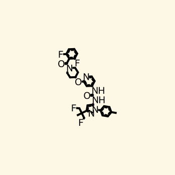 Cc1ccc(-n2nc(C(C)(CF)CF)cc2NC(=O)Nc2ccnc(OC3CCN(C(=O)c4c(F)cccc4F)CC3)c2)cc1